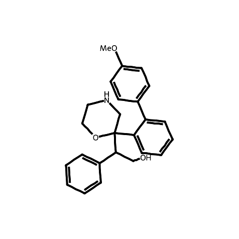 COc1ccc(-c2ccccc2C2(C(CO)c3ccccc3)CNCCO2)cc1